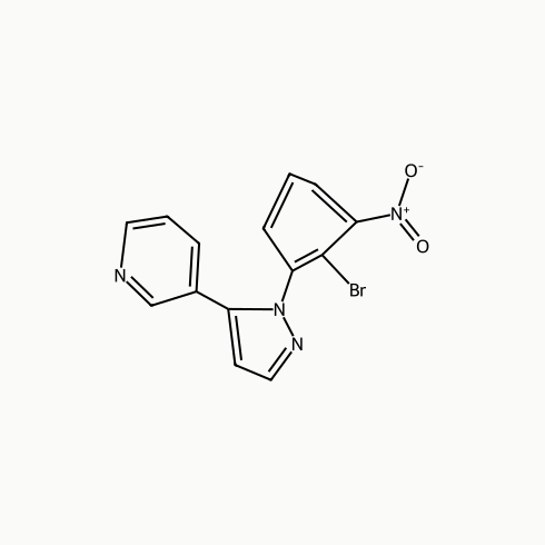 O=[N+]([O-])c1cccc(-n2nccc2-c2cccnc2)c1Br